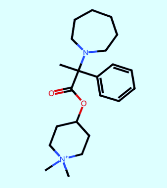 CC(C(=O)OC1CC[N+](C)(C)CC1)(c1ccccc1)N1CCCCCC1